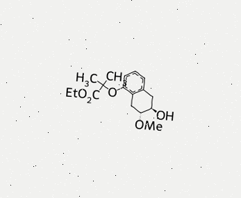 CCOC(=O)C(C)(C)Oc1cccc2c1C[C@@H](OC)[C@H](O)C2